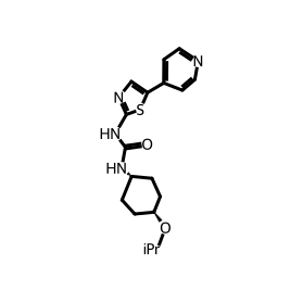 CC(C)O[C@H]1CC[C@H](NC(=O)Nc2ncc(-c3ccncc3)s2)CC1